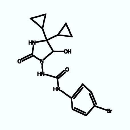 O=C(Nc1ccc(Br)cc1)NN1C(=O)NC(C2CC2)(C2CC2)C1O